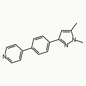 Cc1cc(-c2ccc(-c3ccncc3)cc2)nn1C